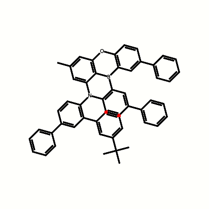 Cc1cc2c3c(c1)N(c1ccc(-c4ccccc4)cc1-c1cccc(C(C)(C)C)c1)c1ccc(-c4ccccc4)cc1B3c1cc(-c3ccccc3)ccc1O2